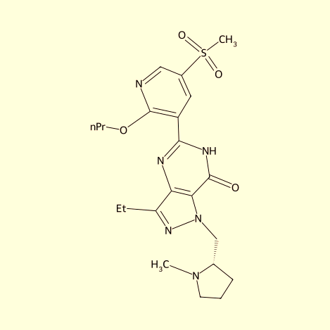 CCCOc1ncc(S(C)(=O)=O)cc1-c1nc2c(CC)nn(C[C@@H]3CCCN3C)c2c(=O)[nH]1